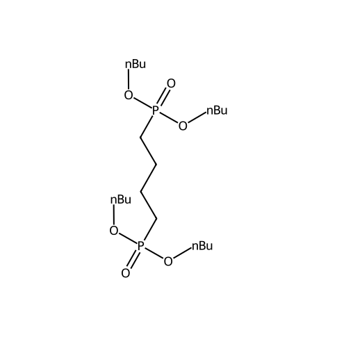 CCCCOP(=O)(CCCCP(=O)(OCCCC)OCCCC)OCCCC